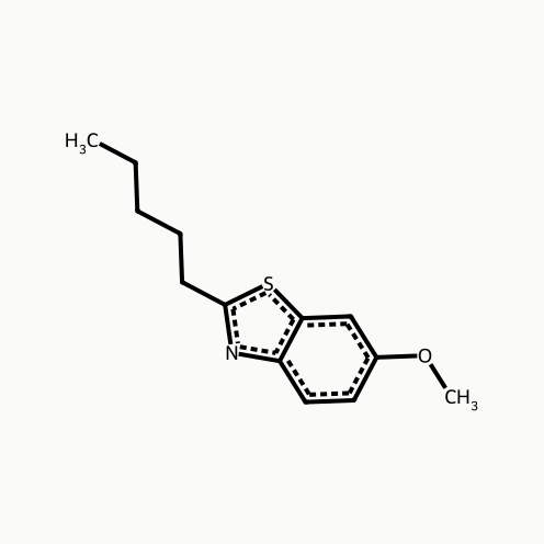 CCCCCc1nc2ccc(OC)cc2s1